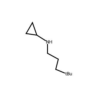 CC(C)(C)CCCNC1CC1